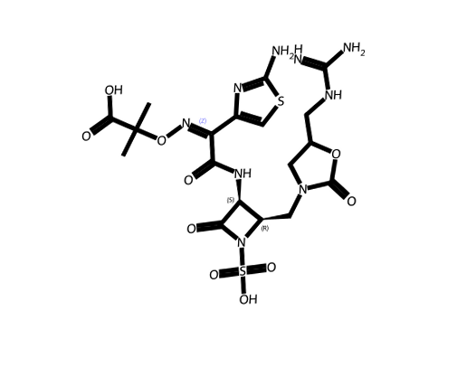 CC(C)(O/N=C(\C(=O)N[C@@H]1C(=O)N(S(=O)(=O)O)[C@@H]1CN1CC(CNC(=N)N)OC1=O)c1csc(N)n1)C(=O)O